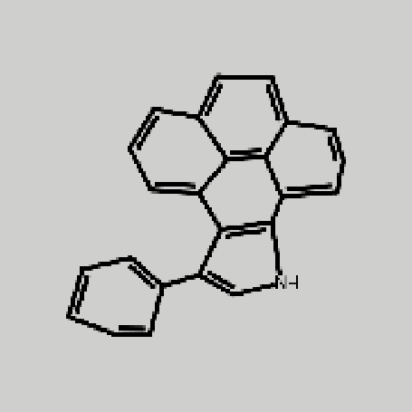 c1ccc(-c2c[nH]c3c4cccc5ccc6cccc(c23)c6c54)cc1